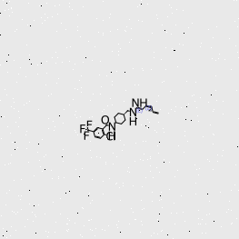 C=C/C=C\C=C(/N)NC[C@H]1CC[C@H](NC(=O)c2cc(C(F)(F)F)ccc2Cl)CC1